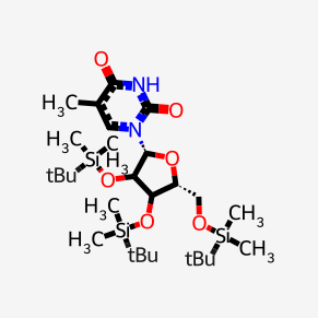 Cc1cn([C@@H]2O[C@H](CO[Si](C)(C)C(C)(C)C)C(O[Si](C)(C)C(C)(C)C)C2O[Si](C)(C)C(C)(C)C)c(=O)[nH]c1=O